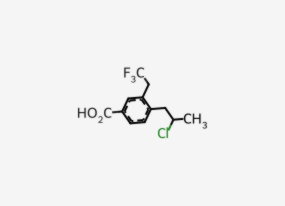 CC(Cl)Cc1ccc(C(=O)O)cc1CC(F)(F)F